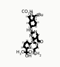 C=CCn1c(=O)c2cnc(Nc3ccc4c(C(C)(C)C)n(C(=O)O)cc4c3)nc2n1-c1cccc(C(C)(C)O)n1